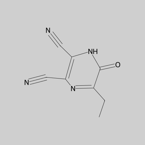 CCc1nc(C#N)c(C#N)[nH]c1=O